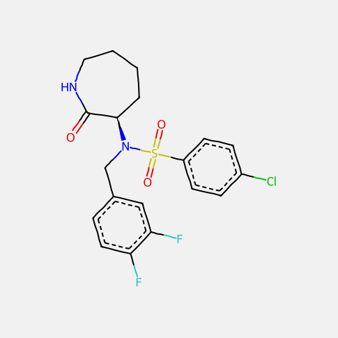 O=C1NCCCC[C@H]1N(Cc1ccc(F)c(F)c1)S(=O)(=O)c1ccc(Cl)cc1